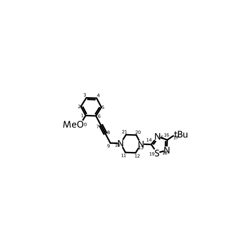 COc1ccccc1C#CCN1CCN(c2nc(C(C)(C)C)ns2)CC1